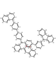 c1cc(-c2ccc(N(c3ccc(-c4ccc(-c5cccc6ccccc56)cc4)cc3)c3ccccc3-c3ccc4ccccc4c3)cc2)cc(-n2c3ccccc3c3ccccc32)c1